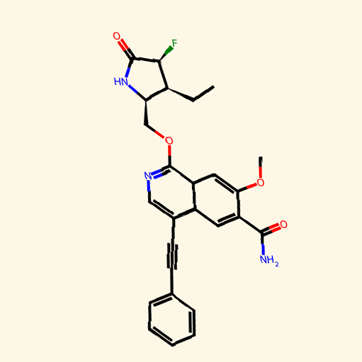 CC[C@@H]1[C@H](F)C(=O)N[C@@H]1COC1=NC=C(C#Cc2ccccc2)C2C=C(C(N)=O)C(OC)=CC12